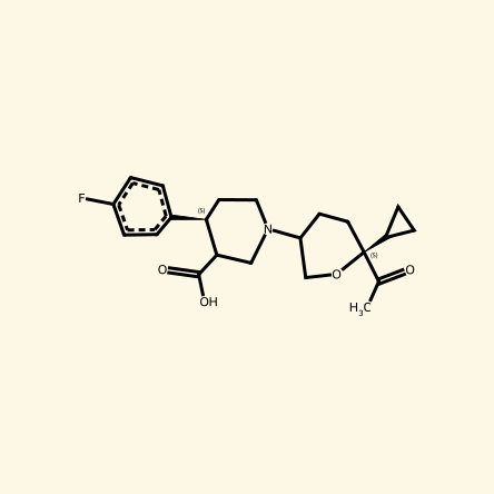 CC(=O)[C@@]1(C2CC2)CCC(N2CC[C@H](c3ccc(F)cc3)C(C(=O)O)C2)CO1